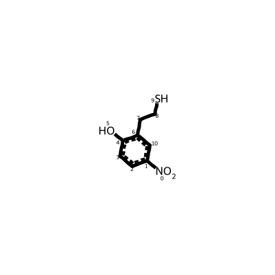 O=[N+]([O-])c1ccc(O)c(CCS)c1